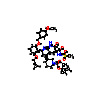 COc1ccc(COc2cccc(OCC3CC3)c2-c2cc(C3CCCN(C(=O)OC(C)(C)C)C3)c3cc(C(=O)NS(C)(=O)=O)c(=O)[nH]c3n2)cc1